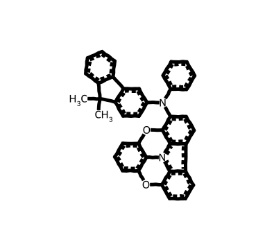 CC1(C)c2ccccc2-c2cc(N(c3ccccc3)c3ccc4c5cccc6c5n5c4c3Oc3cccc(c3-5)O6)ccc21